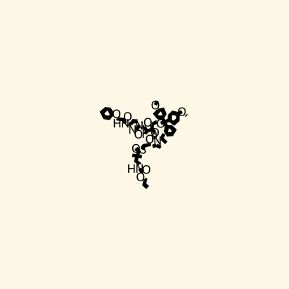 C=CCOC(=O)NCCC(C)(C)C(=O)SCCOP(OC1C(COC(c2ccccc2)(c2ccc(OC)cc2)c2ccc(OC)cc2)OC(n2ccc(NC(=O)COc3ccccc3)nc2=O)C1F)N(C(C)C)C(C)C